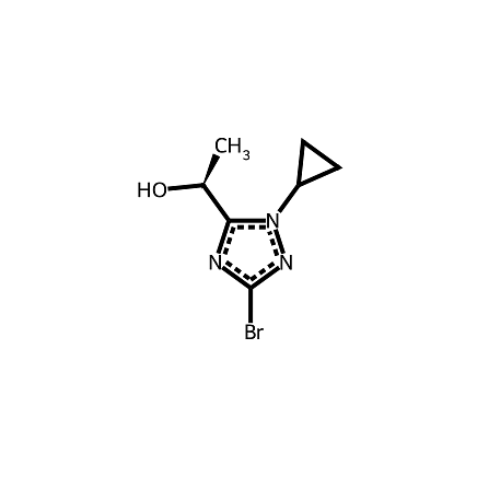 C[C@H](O)c1nc(Br)nn1C1CC1